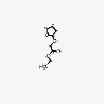 CCOC(=O)COC1CCCO1